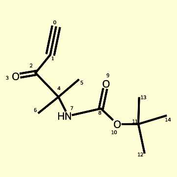 C#CC(=O)C(C)(C)NC(=O)OC(C)(C)C